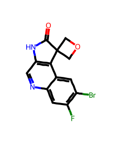 O=C1Nc2cnc3cc(F)c(Br)cc3c2C12COC2